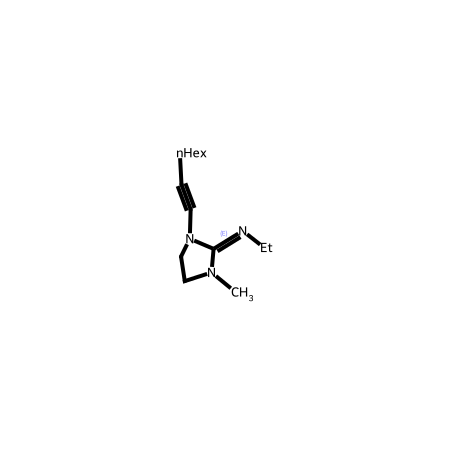 CCCCCCC#CN1CCN(C)/C1=N\CC